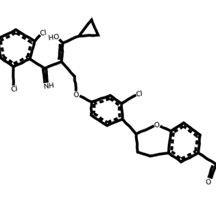 N=C(/C(COc1ccc(C2CCc3cc(C=O)ccc3O2)c(Cl)c1)=C(\O)C1CC1)c1c(Cl)cccc1Cl